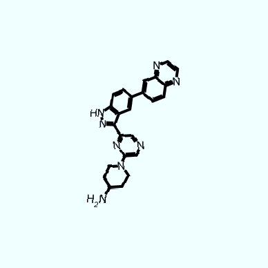 NC1CCN(c2cncc(-c3n[nH]c4ccc(-c5ccc6nccnc6c5)cc34)n2)CC1